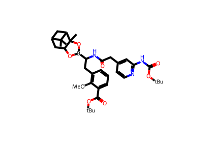 COc1c(CC(NC(=O)Cc2ccnc(NC(=O)OC(C)(C)C)c2)B2OC3CC4CC(C4(C)C)C3(C)O2)cccc1C(=O)OC(C)(C)C